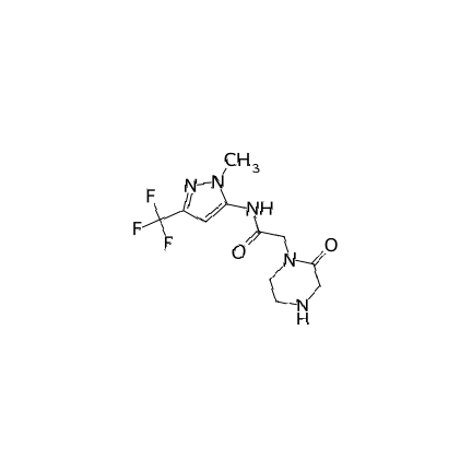 Cn1nc(C(F)(F)F)cc1NC(=O)CN1CCNCC1=O